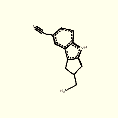 N#Cc1ccc2[nH]c3c(c2c1)CC(CN)C3